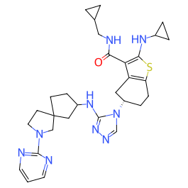 O=C(NCC1CC1)c1c(NC2CC2)sc2c1C[C@@H](n1cnnc1NC1CCC3(CCN(c4ncccn4)C3)C1)CC2